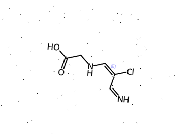 N=C/C(Cl)=C\NCC(=O)O